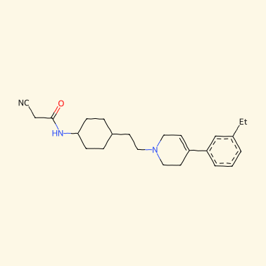 CCc1cccc(C2=CCN(CCC3CCC(NC(=O)CC#N)CC3)CC2)c1